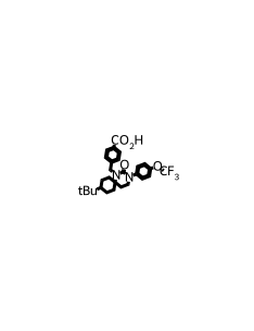 CC(C)(C)C1CCC2(CC1)CCN(c1ccc(OC(F)(F)F)cc1)C(=O)N2Cc1ccc(C(=O)O)cc1